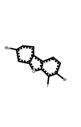 CC(C)(C)c1ccc2c(c1)oc1c(I)c(Br)ccc12